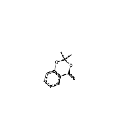 C=C1OC(C)(C)Oc2ccccc21